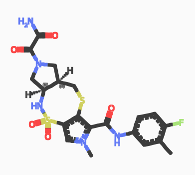 Cc1cc(NC(=O)c2c3c(cn2C)S(=O)(=O)N[C@H]2CN(C(=O)C(N)=O)C[C@H]2CS3)ccc1F